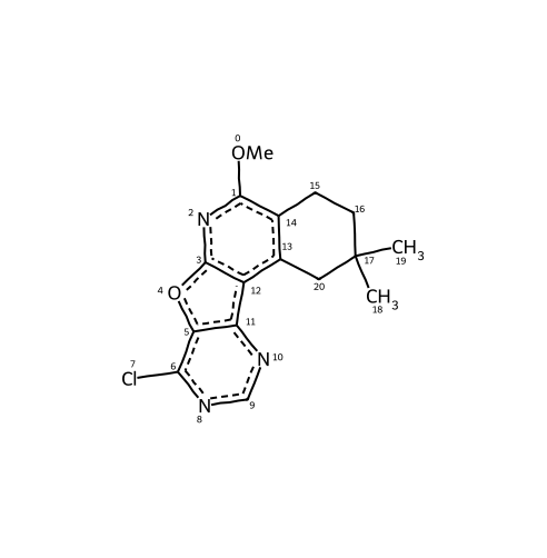 COc1nc2oc3c(Cl)ncnc3c2c2c1CCC(C)(C)C2